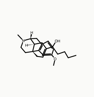 CCCCC(O)C1=CC[C@]23CCN(C)[C@H](Cc4ccc(OC)cc42)[C@H]3C1